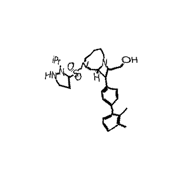 Cc1cccc(-c2ccc(C3C(CO)N4CCCCN(S(=O)(=O)C5CCNN5C(C)C)C[C@@H]34)cc2)c1C